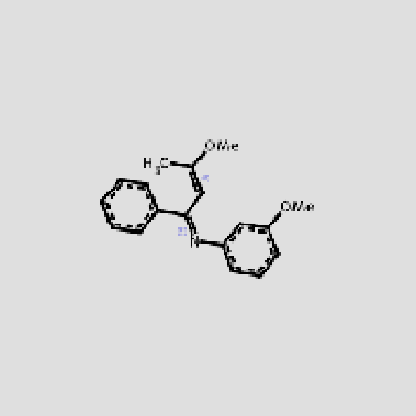 CO/C(C)=C/C(=N\c1cccc(OC)c1)c1ccccc1